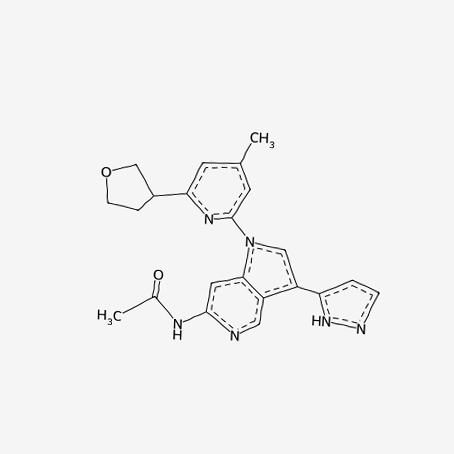 CC(=O)Nc1cc2c(cn1)c(-c1ccn[nH]1)cn2-c1cc(C)cc(C2CCOC2)n1